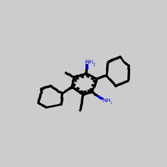 Cc1c(N)c(C2CCCCC2)c(N)c(C)c1C1CCCCC1